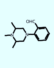 CC1CN(c2ccccc2C=O)CC(C)N1C